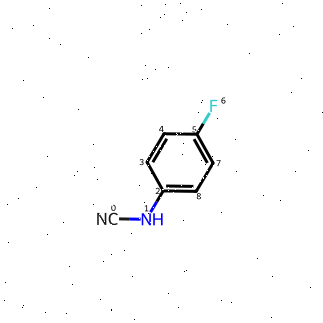 N#CNc1ccc(F)cc1